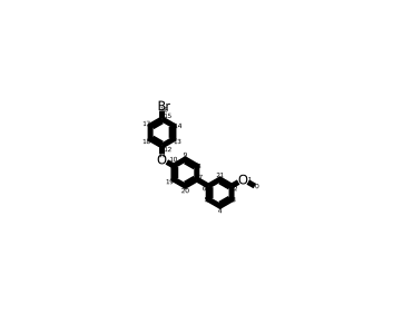 COc1cccc(-c2ccc(Oc3ccc(Br)cc3)cc2)c1